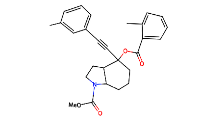 COC(=O)N1CCC2C1CCCC2(C#Cc1cccc(C)c1)OC(=O)c1ccccc1C